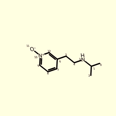 CC(C)NCCc1ccc[n+]([O-])c1